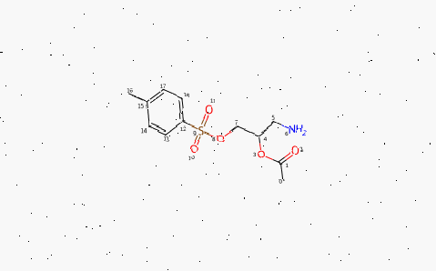 CC(=O)OC(CN)COS(=O)(=O)c1ccc(C)cc1